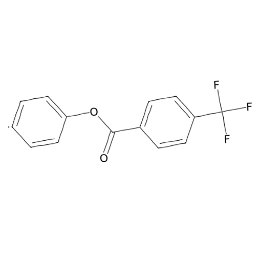 O=C(Oc1cc[c]cc1)c1ccc(C(F)(F)F)cc1